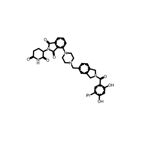 CC(C)c1cc(C(=O)N2Cc3ccc(CN4CCN(c5cccc6c5C(=O)N(C5CCC(=O)NC5=O)C6=O)CC4)cc3C2)c(O)cc1O